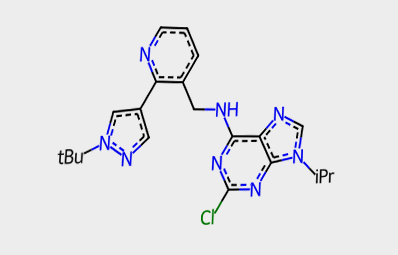 CC(C)n1cnc2c(NCc3cccnc3-c3cnn(C(C)(C)C)c3)nc(Cl)nc21